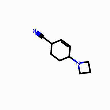 N#CC1C=CC(N2CCC2)CC1